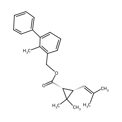 CC(C)=C[C@H]1[C@@H](C(=O)OCc2cccc(-c3ccccc3)c2C)C1(C)C